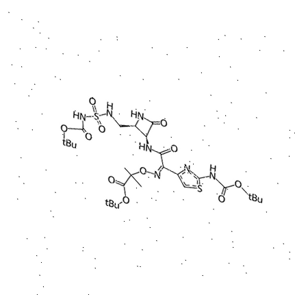 CC(C)(C)OC(=O)Nc1nc(/C(=N/OC(C)(C)C(=O)OC(C)(C)C)C(=O)N[C@@H]2C(=O)N[C@@H]2CNS(=O)(=O)NC(=O)OC(C)(C)C)cs1